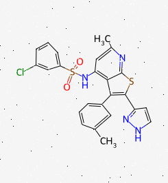 Cc1cccc(-c2c(-c3cc[nH]n3)sc3nc(C)cc(NS(=O)(=O)c4cccc(Cl)c4)c23)c1